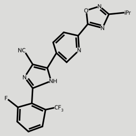 CC(C)c1noc(-c2ccc(-c3[nH]c(-c4c(F)cccc4C(F)(F)F)nc3C#N)cn2)n1